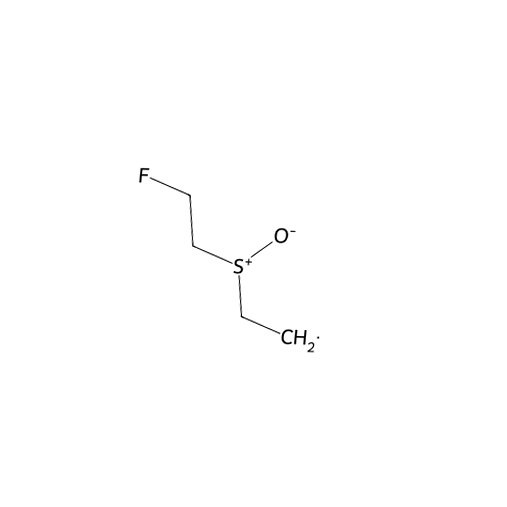 [CH2]C[S+]([O-])CCF